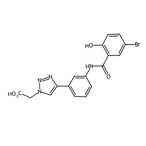 O=C(O)Cn1cc(-c2cccc(NC(=O)c3cc(Br)ccc3O)c2)nn1